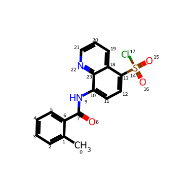 Cc1ccccc1C(=O)Nc1ccc(S(=O)(=O)Cl)c2cccnc12